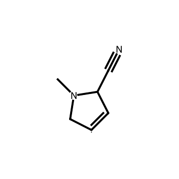 CN1C[C]=CC1C#N